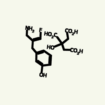 NCC(=CF)Cc1cccc(O)c1.O=C(O)CC(O)(CC(=O)O)C(=O)O